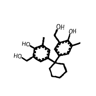 Cc1cc(C2(c3cc(C)c(O)c(CO)c3)CCCCC2)cc(CO)c1O